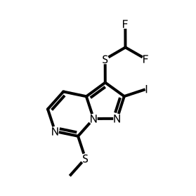 CSc1nccc2c(SC(F)F)c(I)nn12